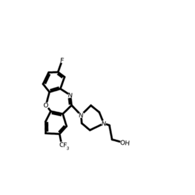 OCCN1CCN(C2=Nc3cc(F)ccc3Oc3ccc(C(F)(F)F)cc32)CC1